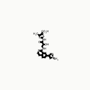 Cc1nc(NC(=O)C(O)CNc2nccc3ccc(-c4cnn(C)c4)cc23)sc1C(=O)O